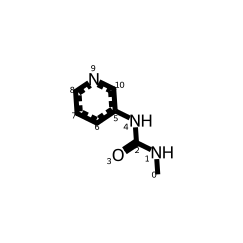 CNC(=O)Nc1cccnc1